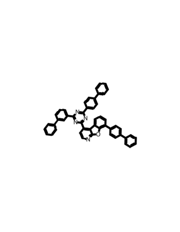 c1ccc(-c2ccc(-c3nc(-c4cccc(-c5ccccc5)c4)nc(-c4ccnc5oc6c(-c7ccc(-c8ccccc8)cc7)cccc6c45)n3)cc2)cc1